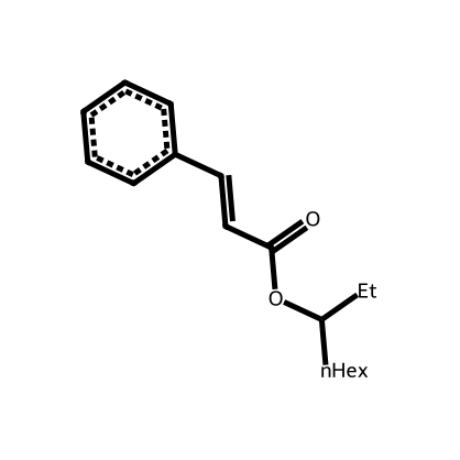 CCCCCCC(CC)OC(=O)/C=C/c1ccccc1